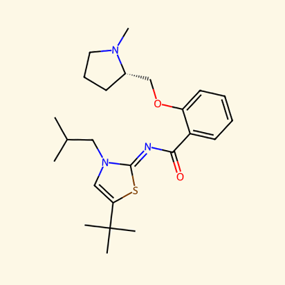 CC(C)Cn1cc(C(C)(C)C)sc1=NC(=O)c1ccccc1OC[C@@H]1CCCN1C